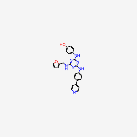 Oc1ccc(Nc2nc(NCc3ccco3)nc(Nc3ccc(-c4ccncc4)cc3)n2)cc1